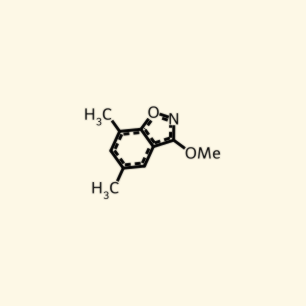 COc1noc2c(C)cc(C)cc12